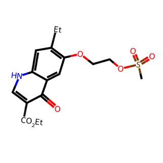 CCOC(=O)c1c[nH]c2cc(CC)c(OCCOS(C)(=O)=O)cc2c1=O